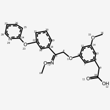 CON=C(COc1cc(CC(=O)O)cc(OC)c1)c1cccc(Oc2ccccn2)c1